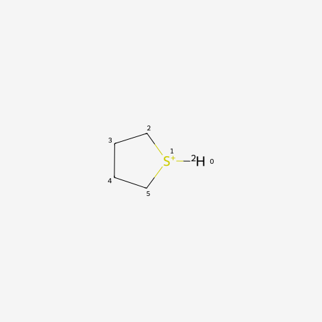 [2H][S+]1CCCC1